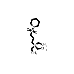 CC[N+](CC)(CC)CCCS(=O)(=O)N1CCCCC1